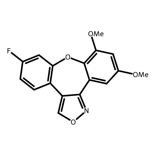 COc1cc(OC)c2c(c1)-c1nocc1-c1ccc(F)cc1O2